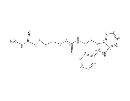 CONC(=O)CCCCCCC(=O)NCCc1c(-c2ccccc2)[nH]c2ccccc12